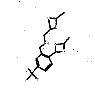 CC1OC(CNCc2cc(C(F)(F)F)ccc2C2OC(C)O2)O1